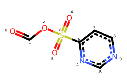 O=[C]OS(=O)(=O)c1ccncn1